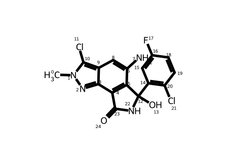 Cn1nc2c3c(c(N)cc2c1Cl)C(O)(c1cc(F)ccc1Cl)NC3=O